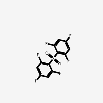 O=S(=O)(c1c(F)cc(F)cc1F)c1c(F)cc(F)cc1F